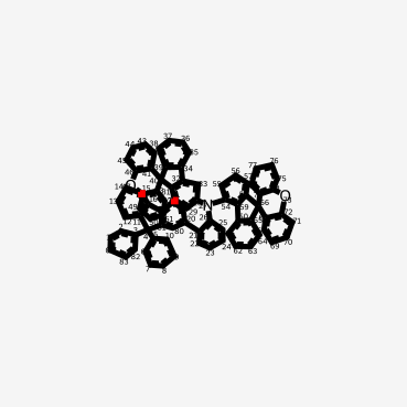 c1ccc(C2(c3ccccc3)c3ccccc3-c3ccc(-c4ccccc4N(c4ccc5c(c4)-c4ccccc4C54c5ccccc5Oc5ccccc54)c4cccc5c4-c4ccccc4C54c5ccccc5Oc5ccccc54)cc32)cc1